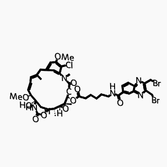 COc1cc2cc(c1Cl)N(C)C(=O)C[C@H](OC(=O)CCCCCNC(=O)c1ccc3nc(CBr)c(CBr)nc3c1)[C@]1(C)O[C@H]1[C@H](C)[C@@H]1C[C@@](O)(NC(=O)O1)[C@H](OC)/C=C/C=C(\C)C2